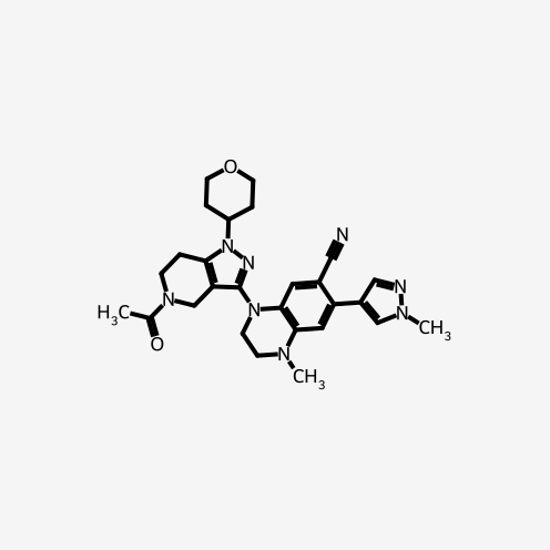 CC(=O)N1CCc2c(c(N3CCN(C)c4cc(-c5cnn(C)c5)c(C#N)cc43)nn2C2CCOCC2)C1